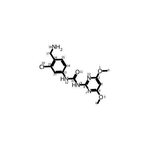 COc1cc(OC)nc(NC(=O)Nc2ccc(CN)c(Cl)c2)n1